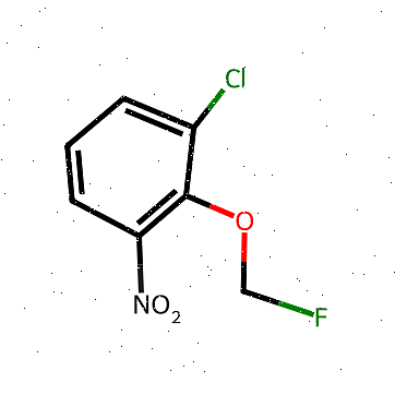 O=[N+]([O-])c1cccc(Cl)c1OCF